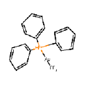 F[C](F)(F)[Au][PH](c1ccccc1)(c1ccccc1)c1ccccc1